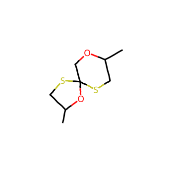 CC1CSC2(CO1)OC(C)CS2